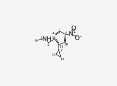 CNCc1ccc([N+](=O)[O-])cc1C1CC1